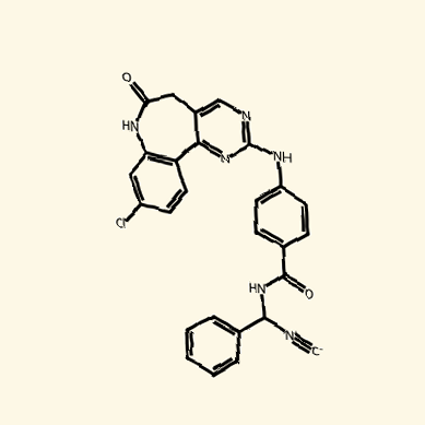 [C-]#[N+]C(NC(=O)c1ccc(Nc2ncc3c(n2)-c2ccc(Cl)cc2NC(=O)C3)cc1)c1ccccc1